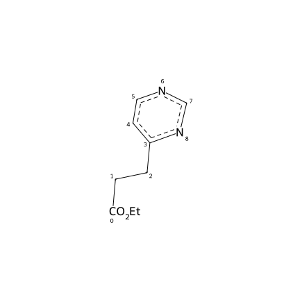 CCOC(=O)CCc1ccncn1